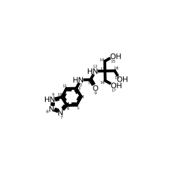 O=C(Nc1ccc2nn[nH]c2c1)NC(CO)(CO)CO